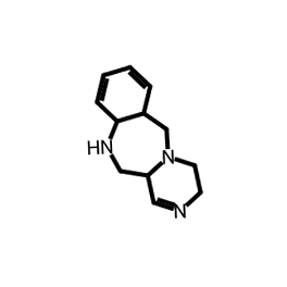 C1=CC2CN3CCN=CC3CNC2C=C1